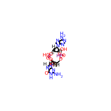 CO[C@H]1[C@H]2OP(=O)(O)OC[C@@]34C[C@@H]3[C@@H](n3cnc5c(N)ncnc53)[C@H](O)[C@@H]4O[PH](=O)OC[C@H]1S[C@H]2n1cnc2c(=O)[nH]c(N)nc21